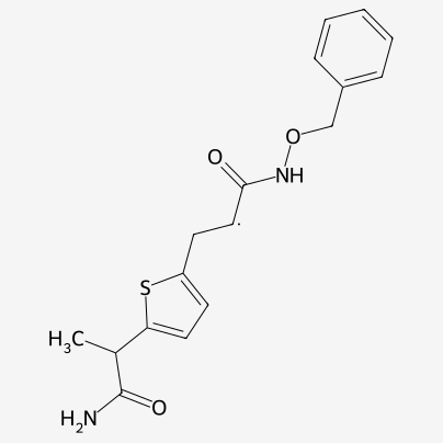 CC(C(N)=O)c1ccc(C[CH]C(=O)NOCc2ccccc2)s1